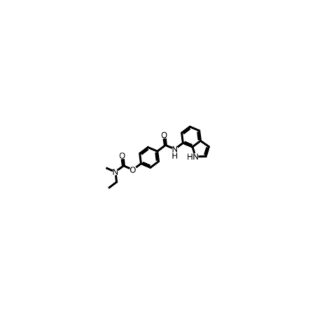 CCN(C)C(=O)Oc1ccc(C(=O)Nc2cccc3cc[nH]c23)cc1